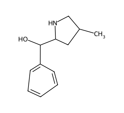 CC1CNC(C(O)c2ccccc2)C1